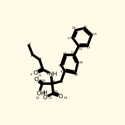 CCCC(=O)NC(Cc1ccc(-c2ccccc2)cc1)(C(=O)O)C(=O)O